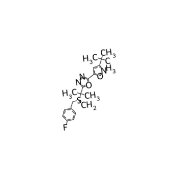 C=S(Cc1ccc(F)cc1)C(C)(C)c1nnc(-c2cc(C(C)(C)C)no2)o1